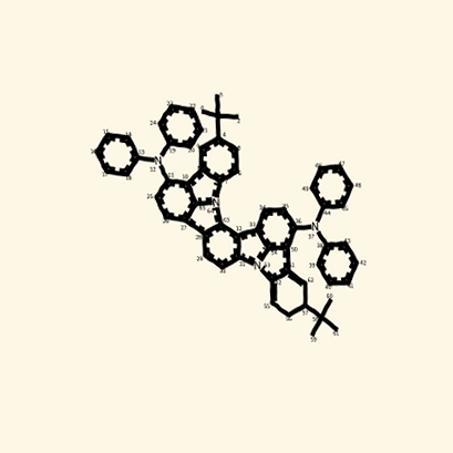 CC(C)(C)c1ccc2c(c1)c1c(N(c3ccccc3)c3ccccc3)ccc3c4ccc5c(c6ccc(N(c7ccccc7)c7ccccc7)c7c8c(n5c76)=CCC(C(C)(C)C)C=8)c4n2c31